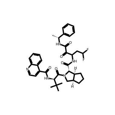 C[C@@H](NC(=O)C(=O)C(CC(F)F)NC(=O)[C@@H]1[C@H]2CCC[C@H]2CN1C(=O)[C@H](NC(=O)c1ccnc2ccccc12)C(C)(C)C)c1ccccc1